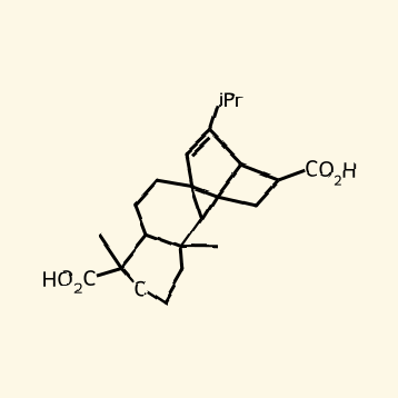 CC(C)C1=CC23CCC4C(C)(C(=O)O)CCCC4(C)C2C32CC(C(=O)O)C12